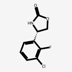 O=C1N[C@@H](c2cccc(Cl)c2F)CO1